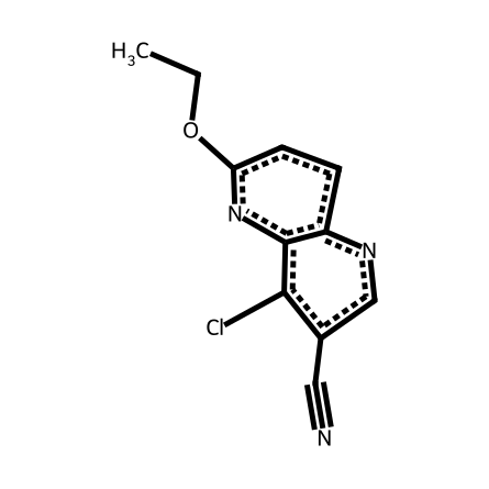 CCOc1ccc2ncc(C#N)c(Cl)c2n1